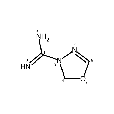 N=C(N)N1COC=N1